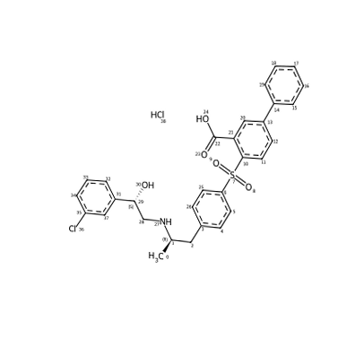 C[C@H](Cc1ccc(S(=O)(=O)c2ccc(-c3ccccc3)cc2C(=O)O)cc1)NC[C@@H](O)c1cccc(Cl)c1.Cl